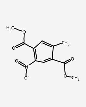 COC(=O)c1cc([N+](=O)[O-])c(C(=O)OC)cc1C